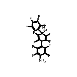 Nc1c(F)c(F)c(C2C(F)=C(F)C(N)(c3cc(F)c(F)c(F)c3F)C(F)=C2F)c(F)c1F